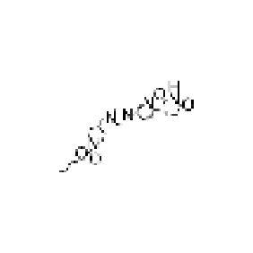 CCCCOC(=O)N1CCC(CN2CCN(c3ccc(C4CCC(=O)NC4=O)nc3)CC2)CC1